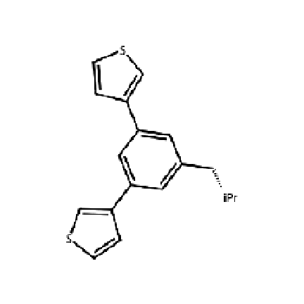 [CH2][C@@H](C)Cc1cc(-c2ccsc2)cc(-c2ccsc2)c1